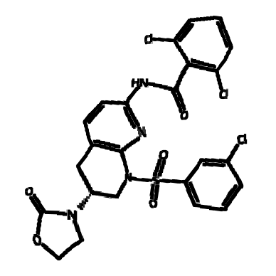 O=C(Nc1ccc2c(n1)N(S(=O)(=O)c1cccc(Cl)c1)C[C@H](N1CCOC1=O)C2)c1c(Cl)cccc1Cl